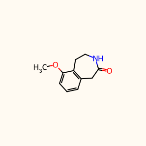 COc1cccc2c1CCNC(=O)C2